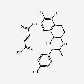 CC(Cc1ccc(O)cc1)NC1CCc2c(ccc(O)c2O)C1O.O=C(O)/C=C/C(=O)O